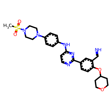 CS(=O)(=O)N1CCN(c2ccc(Nc3ccnc(-c4ccc(OC5CCOCC5)c(C=N)c4)n3)cc2)CC1